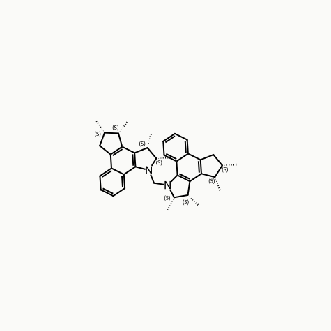 C[C@@H]1c2c3c(c4ccccc4c2C[C@@H]1C)N(CN1c2c(c4c(c5ccccc25)C[C@H](C)[C@@H]4C)[C@H](C)[C@@H]1C)[C@@H](C)[C@H]3C